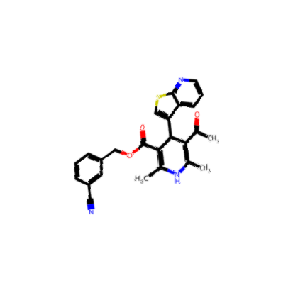 CC(=O)C1=C(C)NC(C)=C(C(=O)OCc2cccc(C#N)c2)C1c1csc2ncccc12